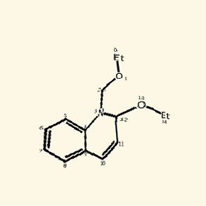 CCO[C]N1c2ccccc2C=CC1OCC